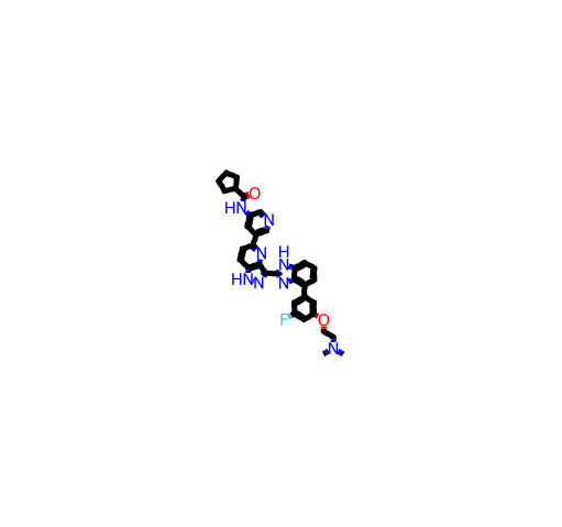 CN(C)CCOc1cc(F)cc(-c2cccc3[nH]c(-c4n[nH]c5ccc(-c6cncc(NC(=O)C7CCCC7)c6)nc45)nc23)c1